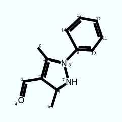 CC1=C(C=O)C(C)NN1c1ccccc1